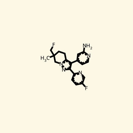 CC1(CF)CCc2c(-c3ccnc(N)c3)c(-c3ccc(F)cn3)nn2C1